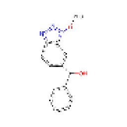 CCCCOn1nnc2ccc(C(O)c3ccccc3)cc21